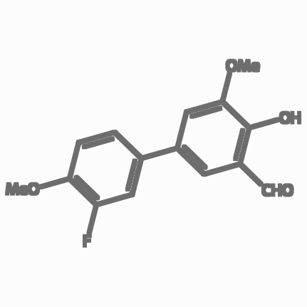 COc1ccc(-c2cc(C=O)c(O)c(OC)c2)cc1F